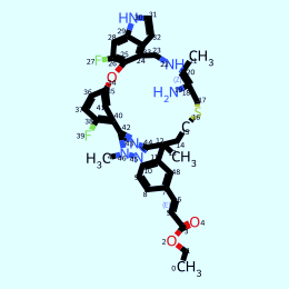 CCOC(=O)/C=C/c1cccc(C2(C)CCSC/C(N)=C(\C)NCc3c(c(F)cc4[nH]ccc34)Oc3ccc(F)c(c3)-c3nc2nn3C)c1